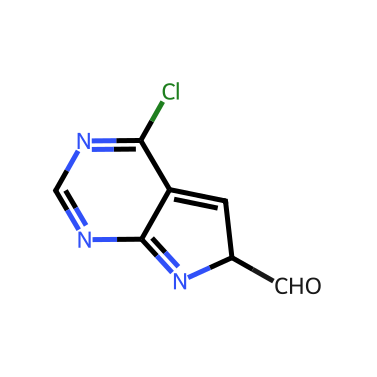 O=CC1C=c2c(Cl)ncnc2=N1